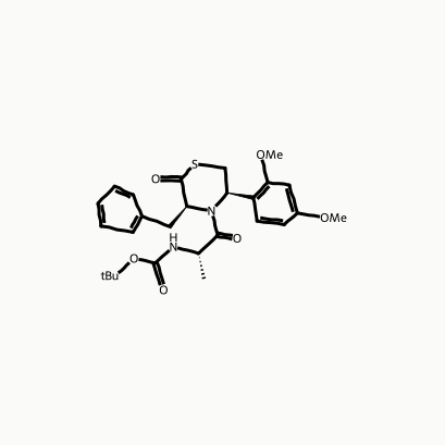 COc1ccc([C@@H]2CSC(=O)[C@H](Cc3ccccc3)N2C(=O)[C@H](C)NC(=O)OC(C)(C)C)c(OC)c1